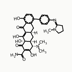 CN1CCCC1=Nc1ccc(-c2ccc(O)c3c2C[C@H]2C[C@H]4[C@H](N(C)C)C(O)=C(C(N)=O)C(=O)[C@@]4(O)C(O)=C2C3=O)cc1